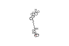 O=C(CNC12CC3CC(CC(C3)C1)C2)NCCCCCSc1cccc2c1CN(C1CCC(=O)NC1=O)C2=O